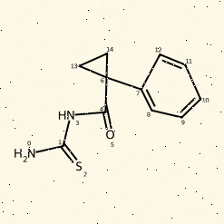 NC(=S)NC(=O)C1(c2ccccc2)CC1